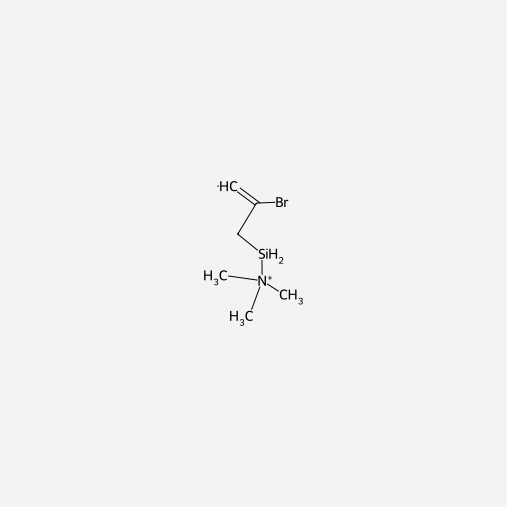 [CH]=C(Br)C[SiH2][N+](C)(C)C